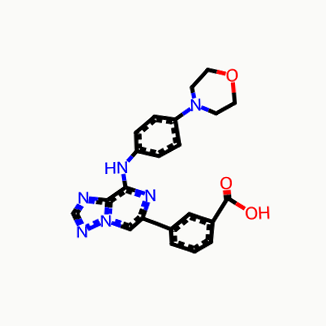 O=C(O)c1cccc(-c2cn3ncnc3c(Nc3ccc(N4CCOCC4)cc3)n2)c1